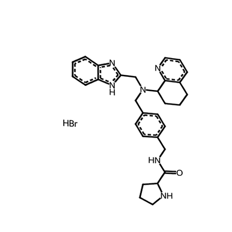 Br.O=C(NCc1ccc(CN(Cc2nc3ccccc3[nH]2)C2CCCc3cccnc32)cc1)C1CCCN1